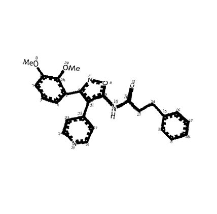 COc1cccc(-c2noc(NC(=O)CCc3ccccc3)c2-c2ccncc2)c1OC